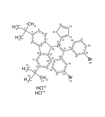 CC(C)(C)c1ccc2c(c1)-c1cc(C(C)(C)C)ccc1[CH]2[Zr]([C]1=CC=CC1)=[C](c1cccc(Br)c1)c1cccc(Br)c1.Cl.Cl